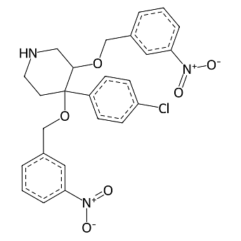 O=[N+]([O-])c1cccc(COC2CNCCC2(OCc2cccc([N+](=O)[O-])c2)c2ccc(Cl)cc2)c1